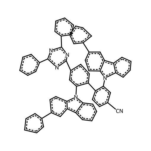 N#Cc1ccc(-c2ccc(-c3nc(-c4ccccc4)nc(-c4ccccc4)n3)cc2-n2c3ccccc3c3cc(-c4ccccc4)ccc32)c(-n2c3ccccc3c3cc(-c4ccccc4)ccc32)c1